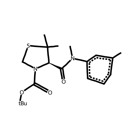 Cc1cccc(N(C)C(=O)[C@H]2N(C(=O)OC(C)(C)C)CSC2(C)C)c1